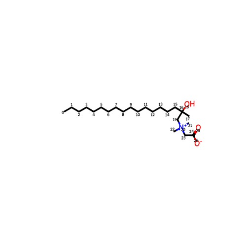 CCCCCCCCCCCCCCCCC(C)(O)C[N+](C)(C)CC(=O)[O-]